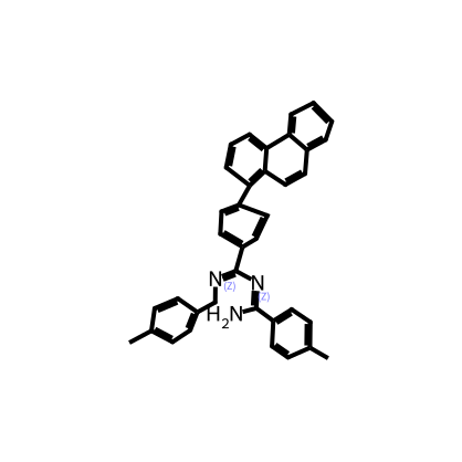 Cc1ccc(C/N=C(\N=C(/N)c2ccc(C)cc2)c2ccc(-c3cccc4c3ccc3ccccc34)cc2)cc1